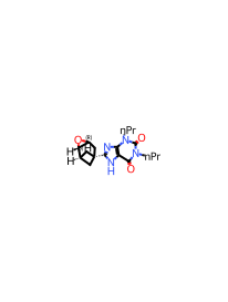 CCCn1c(=O)c2[nH]c([C@]34C[C@H]5O[C@H]5[C@H](C3)C4)nc2n(CCC)c1=O